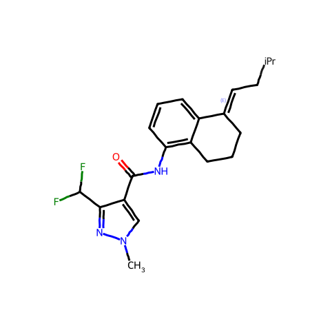 CC(C)C/C=C1\CCCc2c(NC(=O)c3cn(C)nc3C(F)F)cccc21